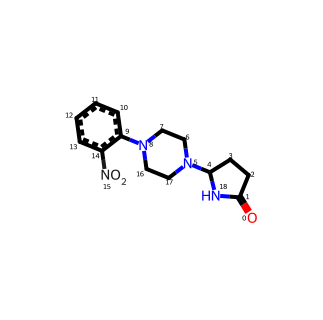 O=C1CCC(N2CCN(c3ccccc3[N+](=O)[O-])CC2)N1